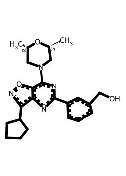 C[C@@H]1CN(c2nc(-c3cccc(CO)c3)nc3c(C4CCCC4)noc23)C[C@H](C)O1